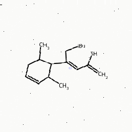 C=C(S)/C=C(\CC(C)CC)C1C(C)C=CCC1C